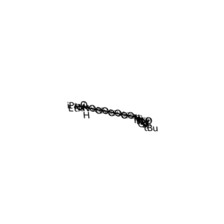 CCC1(C(C)C)CCN(C(=O)NCCOCCOCCOCCOCCOCCOCCOCCn2cc(CN3C(=O)CC(C(C)(C)C)C3=O)nn2)C1